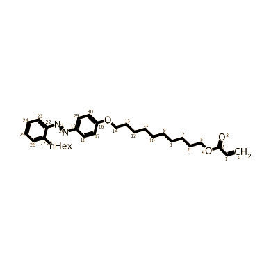 C=CC(=O)OCCCCCCCCCCOc1ccc(N=Nc2ccccc2CCCCCC)cc1